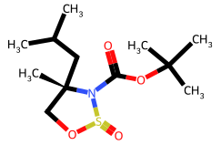 CC(C)C[C@@]1(C)COS(=O)N1C(=O)OC(C)(C)C